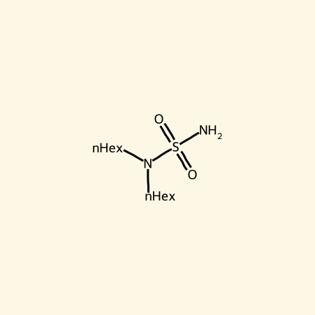 CCCCCCN(CCCCCC)S(N)(=O)=O